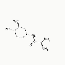 C[C@H](N)C(=O)N[C@@H]1CC[C@H](O)[C@@H](C)C1